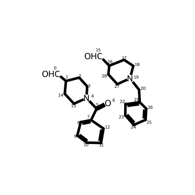 O=CC1CCN(C(=O)c2ccccc2)CC1.O=CC1CCN(Cc2ccccc2)CC1